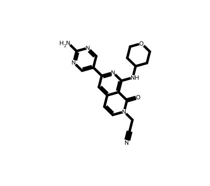 N#CCn1ccc2cc(-c3cnc(N)nc3)nc(NC3CCOCC3)c2c1=O